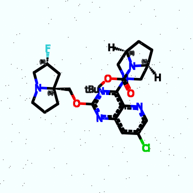 CC(C)(C)OC(=O)N1[C@@H]2CC[C@H]1CN(c1nc(OC[C@@]34CCCN3C[C@H](F)C4)nc3cc(Cl)cnc13)C2